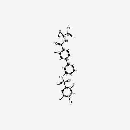 Cc1cc(S(=O)(=O)Nc2cccc(-c3ccc(C(=O)NC4(C(=O)O)CC4)c(C)c3)c2)c(C)cc1Cl